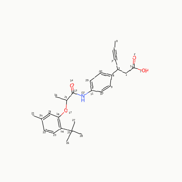 CC#CC(CC(=O)O)c1ccc(NC(=O)C(C)Oc2cc(C)ccc2C(C)(C)C)cc1